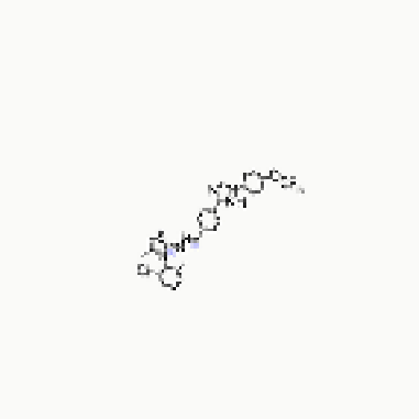 Cc1cccc(Cl)c1-n1c(C)cs/c1=N\N=C\c1ccc(C2N=CN(c3ccc(OC(F)(F)F)cc3)N2)cc1